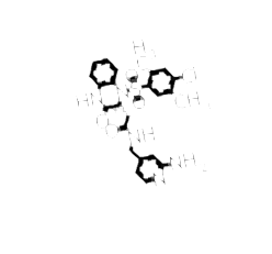 Cc1cc(S(=O)(=O)N2c3ccccc3NC(=O)[C@H]2CC(=O)NCc2ccnc(N)c2)c(C)cc1Cl